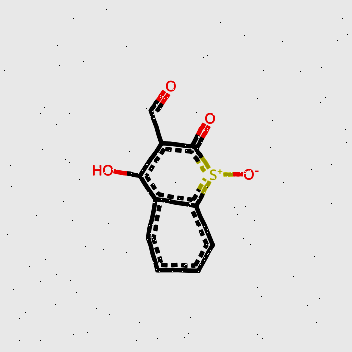 O=Cc1c(O)c2ccccc2[s+]([O-])c1=O